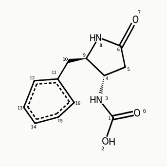 O=C(O)N[C@H]1CC(=O)N[C@@H]1Cc1ccccc1